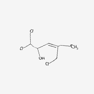 CC(=CC(O)C(Cl)Cl)CCl